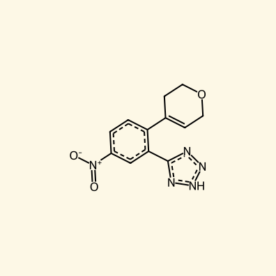 O=[N+]([O-])c1ccc(C2=CCOCC2)c(-c2nn[nH]n2)c1